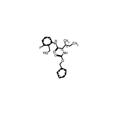 CC[C@H](C)[C@H](NC(=O)OCc1ccccc1)C(=O)Nc1cccc(F)c1CO